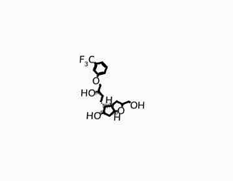 OCC1C[C@@H]2[C@@H](CC[C@@H](O)COc3cccc(C(F)(F)F)c3)[C@H](O)C[C@@H]2O1